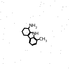 Cc1cccc2c3c([nH]c12)C(N)CCC3